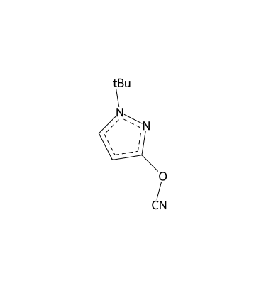 CC(C)(C)n1ccc(OC#N)n1